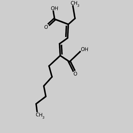 CCCCCCC(=CC=C(CC)C(=O)O)C(=O)O